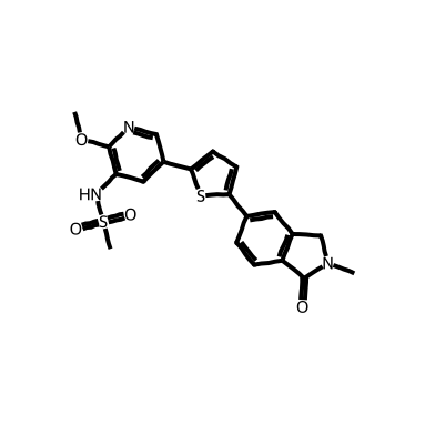 COc1ncc(-c2ccc(-c3ccc4c(c3)CN(C)C4=O)s2)cc1NS(C)(=O)=O